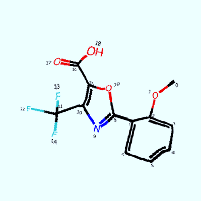 COc1ccccc1-c1nc(C(F)(F)F)c(C(=O)O)o1